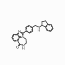 O=C1NCCn2c(-c3ccc(CNC4CCc5ccccc54)cc3)nc3cccc1c32